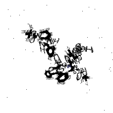 Cc1sc(NC(=O)OC(C)(C)C)nc1/C(=N/O[C@@H](COc1ccc(C(=N)N[C@@H]2CCCN(C(=O)OC(C)(C)C)C2)cc1)C(=O)OC(c1ccccc1)c1ccccc1)C(=O)N[C@@H]1C(=O)N(OS(=O)(=O)O)C1(C)C